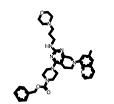 Cc1cc(N2CCc3c(nc(NCCCN4CCOCC4)nc3N3CCN(C(=O)OCc4ccccc4)CC3)C2)c2ccccc2c1